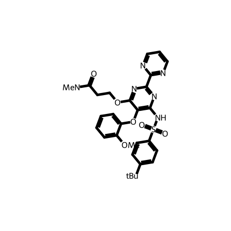 CNC(=O)CCOc1nc(-c2ncccn2)nc(NS(=O)(=O)c2ccc(C(C)(C)C)cc2)c1Oc1ccccc1OC